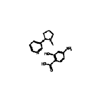 CN1CCCC1c1cccnc1.Nc1ccc(C(=O)O)c(O)c1